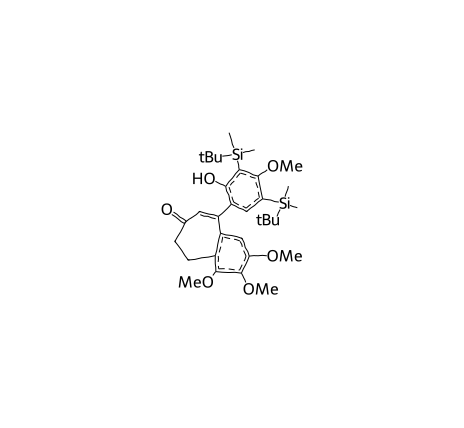 COc1cc2c(c(OC)c1OC)CCC(=O)C=C2c1cc([Si](C)(C)C(C)(C)C)c(OC)c([Si](C)(C)C(C)(C)C)c1O